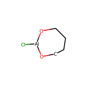 [Cl][Al]1[O]CCCC[O]1